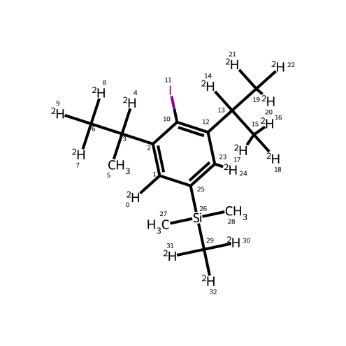 [2H]c1c(C([2H])(C)C([2H])([2H])[2H])c(I)c(C([2H])(C([2H])([2H])[2H])C([2H])([2H])[2H])c([2H])c1[Si](C)(C)C([2H])([2H])[2H]